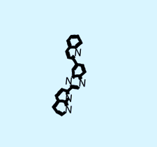 c1ccc2nc(-c3ccc4ncc(-c5ccc6cccnc6n5)nc4c3)ccc2c1